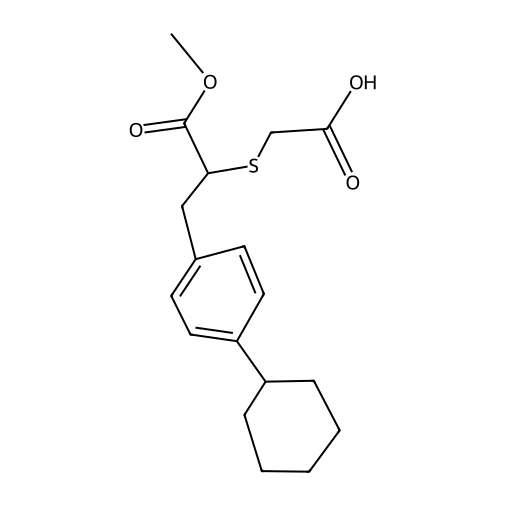 COC(=O)C(Cc1ccc(C2CCCCC2)cc1)SCC(=O)O